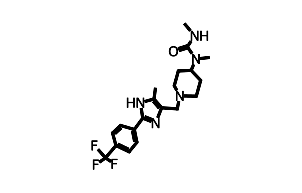 CNC(=O)N(C)C1CCN(Cc2nc(-c3ccc(C(F)(F)F)cc3)[nH]c2C)CC1